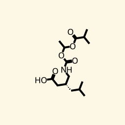 CC(C)C[C@@H](CNC(=O)OC(C)OC(=O)C(C)C)CC(=O)O